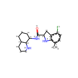 Cc1ccc(F)c2c1NC(C(=O)NC1CCCC3CCCNC31)C2